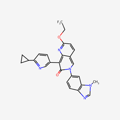 Cn1cnc2ccc(-n3cc4ccc(OCC(F)(F)F)nc4c(-c4ccc(C5CC5)nc4)c3=O)cc21